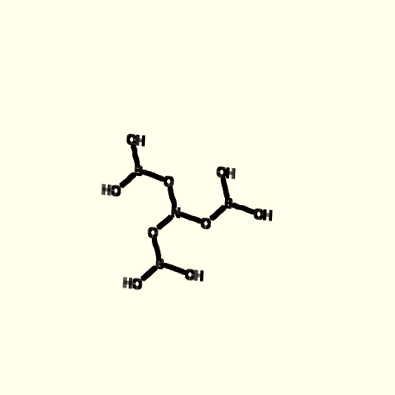 OB(O)ON(OB(O)O)OB(O)O